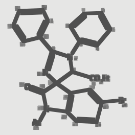 CCOC(=O)C1N(c2ccccc2)C(c2ccccc2)=NC12C(=O)N(C(C)=O)c1ccc(Br)cc12